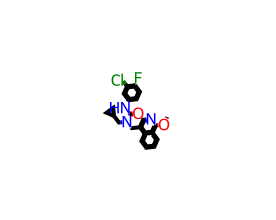 COc1ncc(CN(CC2CC2)C(=O)Nc2ccc(F)c(Cl)c2)c2ccccc12